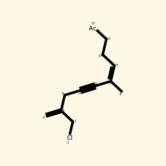 C=C(CCl)CC#CC(C)=CCCC(C)=O